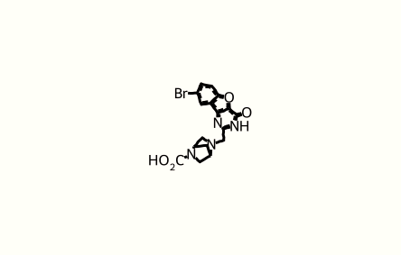 O=C(O)N1CC2CC1CN2Cc1nc2c(oc3ccc(Br)cc32)c(=O)[nH]1